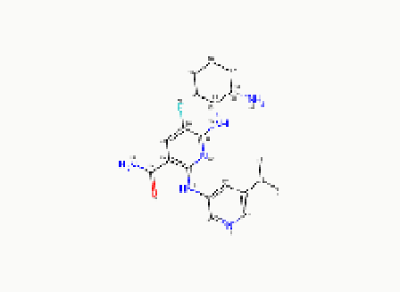 CC(C)c1cncc(Nc2nc(N[C@@H]3CCCC[C@@H]3N)c(F)cc2C(N)=O)c1